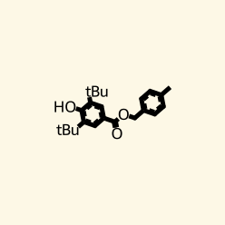 Cc1ccc(COC(=O)c2cc(C(C)(C)C)c(O)c(C(C)(C)C)c2)cc1